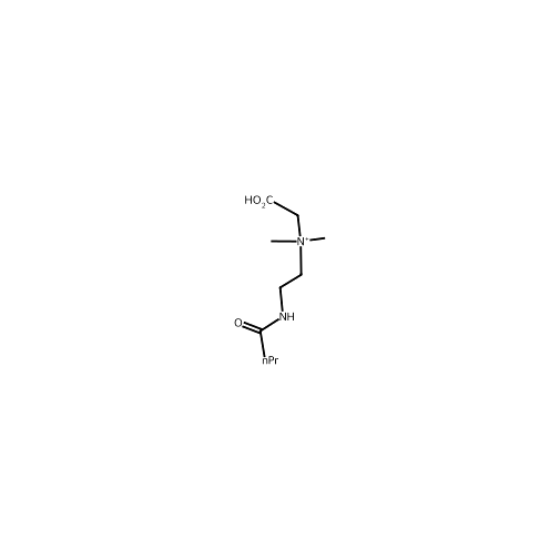 CCCC(=O)NCC[N+](C)(C)CC(=O)O